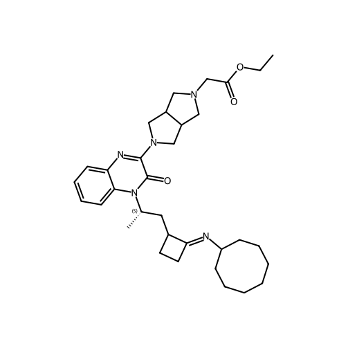 CCOC(=O)CN1CC2CN(c3nc4ccccc4n([C@@H](C)CC4CCC4=NC4CCCCCCC4)c3=O)CC2C1